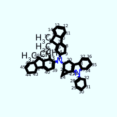 CC1C(N(C2C=C3C(=CC2)c2ccccc2C3(C)C)[C@H]2CC3=C(C4CC42)N(C2=CC=CCC2)C2C=CC=CC32)=CC=C2C3CCC=CC3C(C)(C)C21